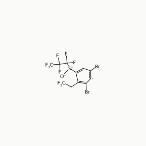 [O-][S+](c1cc(Br)[c]c(Br)c1CC(F)(F)F)C(F)(F)C(F)(F)C(F)(F)F